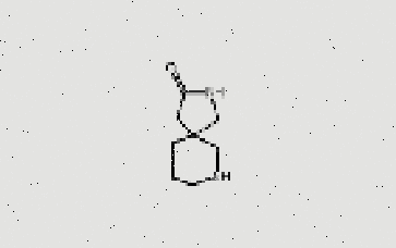 O=C1CC2(CCCNC2)CN1